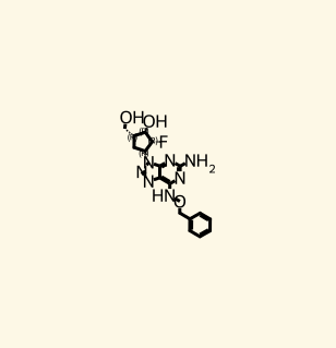 Nc1nc(NOCc2ccccc2)c2nnn([C@@H]3C[C@H](CO)[C@@H](O)[C@@H]3F)c2n1